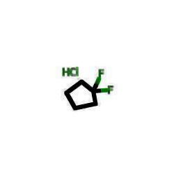 Cl.FC1(F)CCCC1